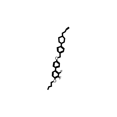 C=CCCC1CCC(c2ccc(COc3ccc(-c4ccc(OCCCC)c(F)c4F)cc3)cc2)CC1